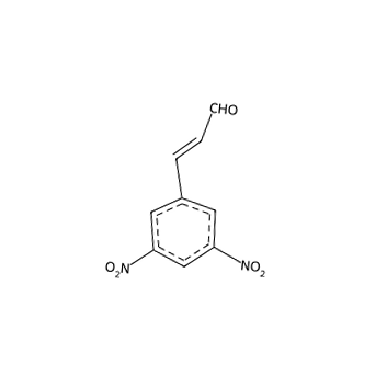 O=C/C=C/c1cc([N+](=O)[O-])cc([N+](=O)[O-])c1